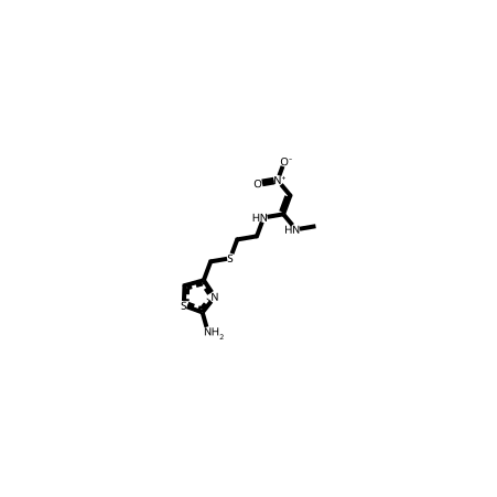 CN/C(=C/[N+](=O)[O-])NCCSCc1csc(N)n1